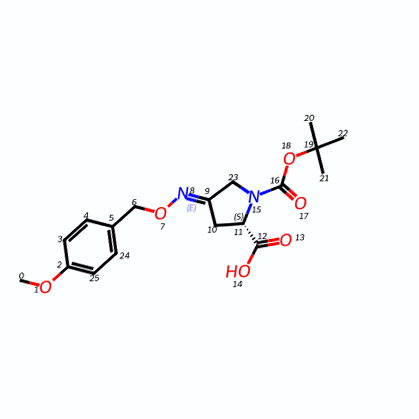 COc1ccc(CO/N=C2\C[C@@H](C(=O)O)N(C(=O)OC(C)(C)C)C2)cc1